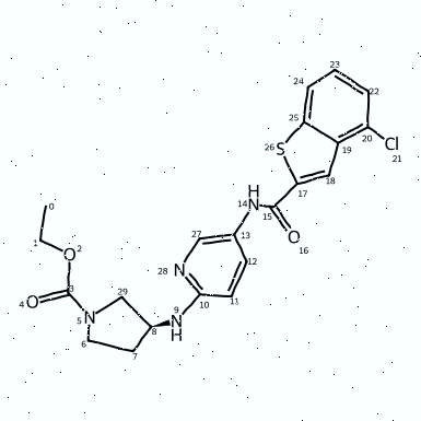 CCOC(=O)N1CC[C@H](Nc2ccc(NC(=O)c3cc4c(Cl)cccc4s3)cn2)C1